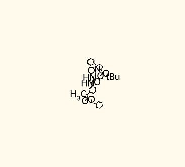 CC(C(=O)OCc1ccccc1)c1cccc(NC(=O)NCC(=O)N2[C@@H](c3ccccc3)CC[C@H]2C(=O)OC(C)(C)C)c1